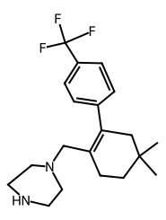 CC1(C)CCC(CN2CCNCC2)=C(c2ccc(C(F)(F)F)cc2)C1